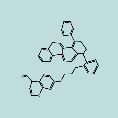 O=CC1C=COc2cc(OCCCc3ncccc3C3CCC(c4ccccc4)=c4c3ccc3c4=CCc4ccccc4-3)ccc21